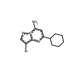 Nc1cc(C2CCCCC2)nc2c(Br)cnn12